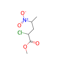 COC(=O)C(Cl)CC(C)[N+](=O)[O-]